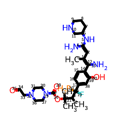 CC(/C=C(\N)NC1CCCNC1)=C(/N)c1ccc(C(F)(P)C(C)C(C)(C)OC(=O)N2CCN(CC=O)CC2)cc1O